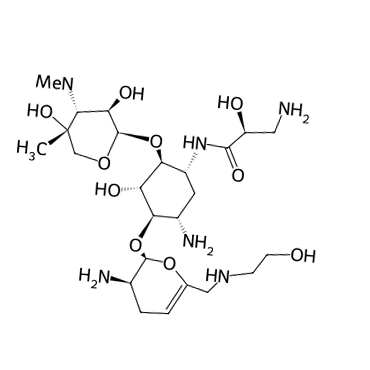 CN[C@@H]1[C@@H](O)[C@@H](O[C@@H]2[C@@H](O)[C@H](O[C@H]3OC(CNCCO)=CC[C@H]3N)[C@@H](N)C[C@H]2NC(=O)[C@@H](O)CN)OC[C@]1(C)O